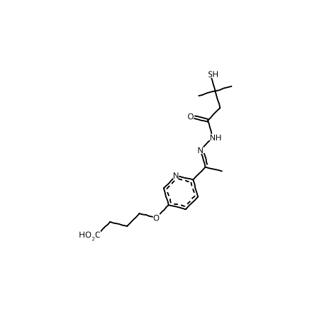 CC(=NNC(=O)CC(C)(C)S)c1ccc(OCCCC(=O)O)cn1